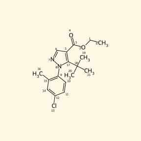 CCOC(=O)c1cnn(-c2ccc(Cl)cc2C)c1C(C)(C)C